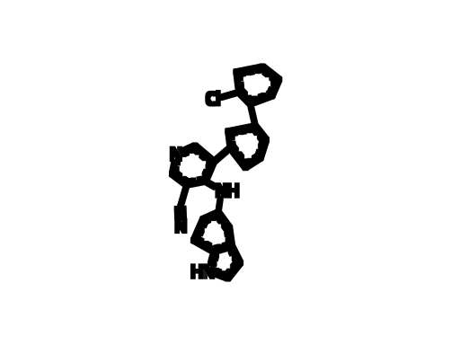 N#Cc1cncc(-c2cccc(-c3ccccc3Cl)c2)c1Nc1ccc2[nH]ccc2c1